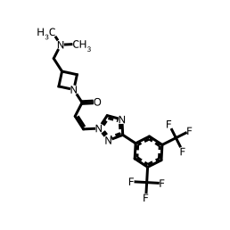 CN(C)CC1CN(C(=O)/C=C\n2cnc(-c3cc(C(F)(F)F)cc(C(F)(F)F)c3)n2)C1